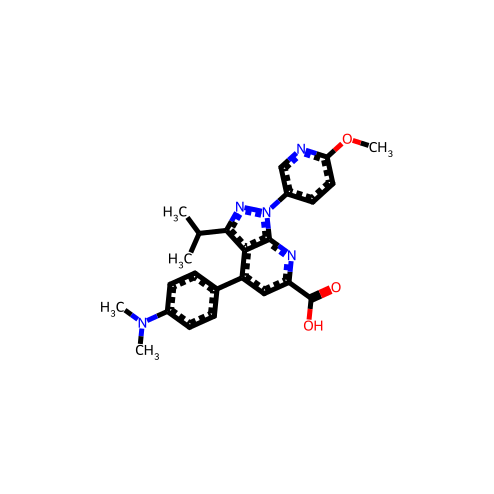 COc1ccc(-n2nc(C(C)C)c3c(-c4ccc(N(C)C)cc4)cc(C(=O)O)nc32)cn1